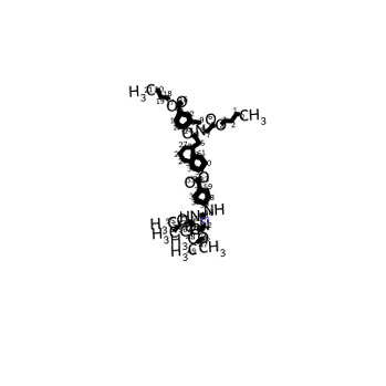 CCCCOC(=O)CN(Cc1cccc(C(=O)OCCCC)c1)C(=O)CC1CCCc2cc(OC(=O)c3ccc(N/C(=N/C(=O)OC(C)(C)C)NC(=O)OC(C)(C)C)cc3)ccc21